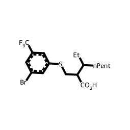 CCCCCC(CC)C(CSc1cc(Br)cc(C(F)(F)F)c1)C(=O)O